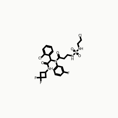 O=C(NC1CC(F)(F)C1)C(c1ccccc1Cl)N(C(=O)CCNS(=O)(=O)NCCCl)c1cccc(F)c1